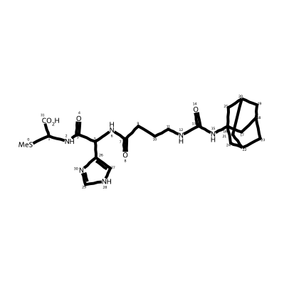 CSC(NC(=O)C(NC(=O)CCCNC(=O)NC12CC3CC(CC(C3)C1)C2)c1c[nH]cn1)C(=O)O